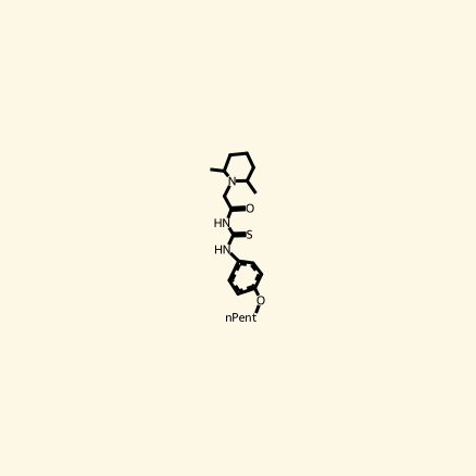 CCCCCOc1ccc(NC(=S)NC(=O)CN2C(C)CCCC2C)cc1